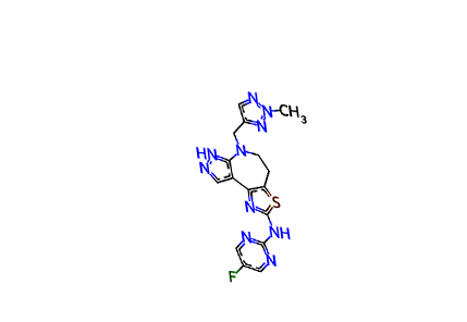 Cn1ncc(CN2CCc3sc(Nc4ncc(F)cn4)nc3-c3cn[nH]c32)n1